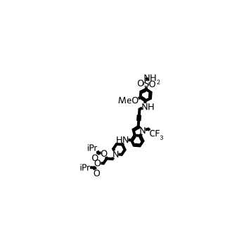 COc1cc(S(N)(=O)=O)ccc1NCC#Cc1cc2c(NC3CCN(CC(COC(=O)C(C)C)OC(=O)C(C)C)CC3)cccc2n1CC(F)(F)F